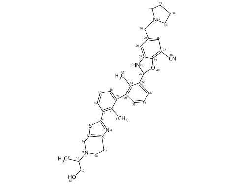 Cc1c(-c2nc3c(s2)CN(C(C)CO)CC3)cccc1-c1cccc(C2Nc3cc(CN4CCCC4)cc(C#N)c3O2)c1C